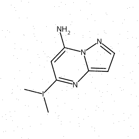 CI(C)c1cc(N)n2nccc2n1